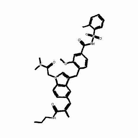 CCCNC(=O)C(C)=Cc1ccc2c(c1)c(Cc1ccc(C(=O)NS(=O)(=O)c3ccccc3C)cc1OC)cn2CC(=O)N(C)C